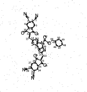 N#Cc1cc2c(cc1C#N)C(=O)C(=Cc1nc3c(s1)c1sc(C=C4C(=O)c5cc(C#N)c(C#N)cc5C4=O)nc1n3C(=O)OCc1ccccc1)C2=O